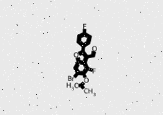 CC(C)Oc1c(Br)cc2oc(-c3ccc(F)cc3)c(C=O)c2c1F